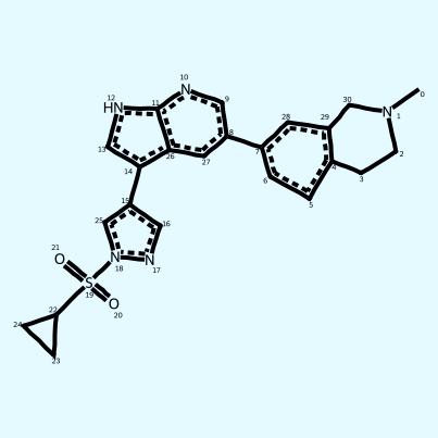 CN1CCc2ccc(-c3cnc4[nH]cc(-c5cnn(S(=O)(=O)C6CC6)c5)c4c3)cc2C1